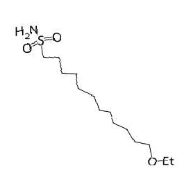 CCOCCCCCCCCCCCCS(N)(=O)=O